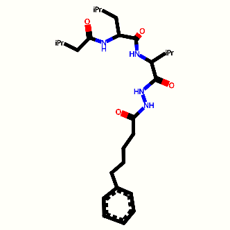 CC(C)CC(=O)NC(CC(C)C)C(=O)NC(C(=O)NNC(=O)CCCCc1ccccc1)C(C)C